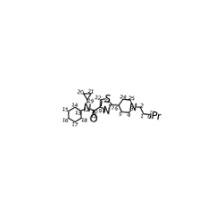 CC(C)CCN1CCC(c2nc(C(=O)N(C3CCCCC3)C3CC3)cs2)CC1